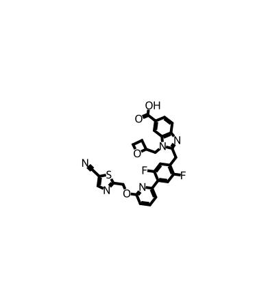 N#Cc1cnc(COc2cccc(-c3cc(F)c(Cc4nc5ccc(C(=O)O)cc5n4CC4CCO4)cc3F)n2)s1